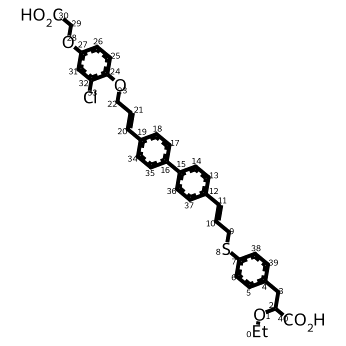 CCOC(Cc1ccc(SCC=Cc2ccc(-c3ccc(C=CCOc4ccc(OCC(=O)O)cc4Cl)cc3)cc2)cc1)C(=O)O